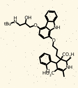 CC1=C(C(=O)O)C(c2ccccc2Cl)C(CCCOc2ccc(OCC(O)CNC(C)(C)C)c3c2[nH]c2ccccc23)(C(=O)O)C(C)N1